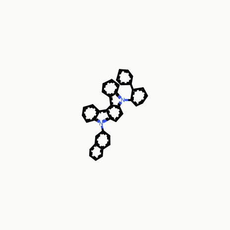 c1ccc(-c2ccccc2-n2c3ccccc3c3c4c5ccccc5n(-c5ccc6ccccc6c5)c4ccc32)cc1